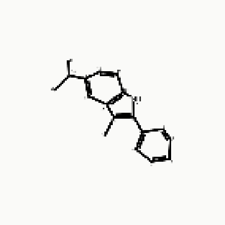 Cc1c(-c2ccccc2)[nH]c2ccc(C(C)C)cc12